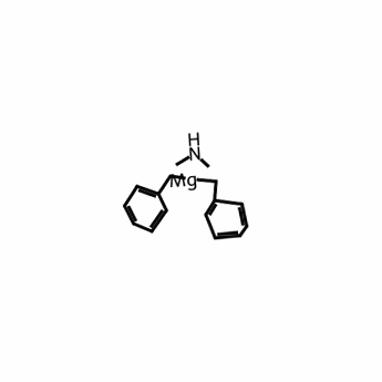 CNC.c1ccc([CH2][Mg][CH2]c2ccccc2)cc1